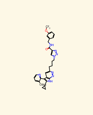 COc1cccnc1-c1c(C2CC2)[nH]c2nnc(CCCCn3cc(C(=O)NCc4cccc(OC(F)(F)F)c4)nn3)cc12